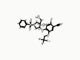 N#Cc1cc(OCC(F)(F)F)c(O[C@H]2CN(S(=O)(=O)c3ccccc3)C[C@@]2(O)CO)cc1F